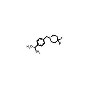 C[C@H](N)c1ccc(CN2CCC(F)(F)CC2)cc1